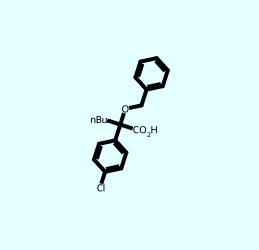 CCCCC(OCc1ccccc1)(C(=O)O)c1ccc(Cl)cc1